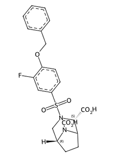 O=C(O)[C@@H]1C2CC[C@H](CN1S(=O)(=O)c1ccc(OCc3ccccc3)c(F)c1)N2C(=O)O